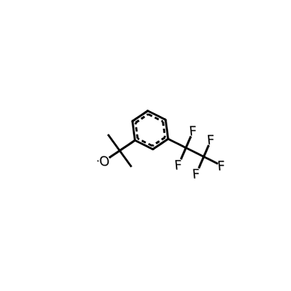 CC(C)([O])c1cccc(C(F)(F)C(F)(F)F)c1